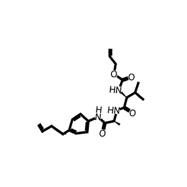 C=CC[CH]c1ccc(NC(=O)[C@H](C)NC(=O)[C@@H](NC(=O)OCC=C)C(C)C)cc1